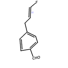 O=Cc1ccc(C/C=C/F)cc1